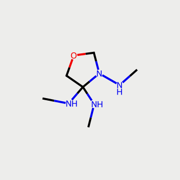 CNN1COCC1(NC)NC